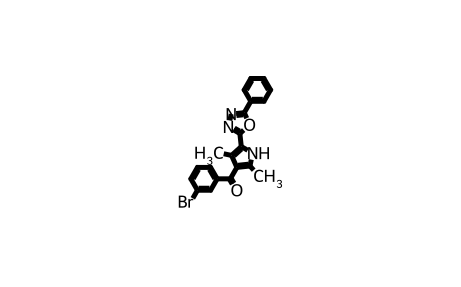 Cc1[nH]c(-c2nnc(-c3ccccc3)o2)c(C)c1C(=O)c1cccc(Br)c1